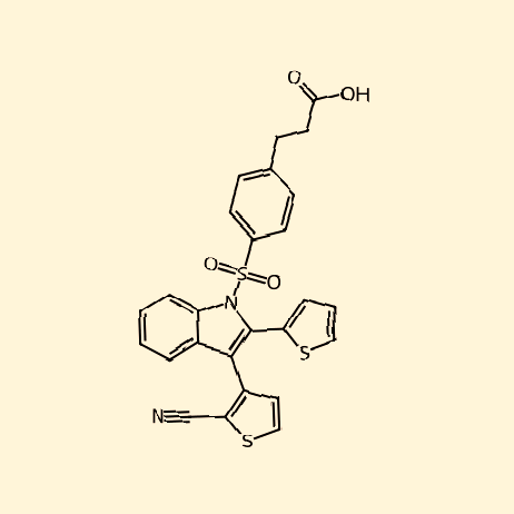 N#Cc1sccc1-c1c(-c2cccs2)n(S(=O)(=O)c2ccc(CCC(=O)O)cc2)c2ccccc12